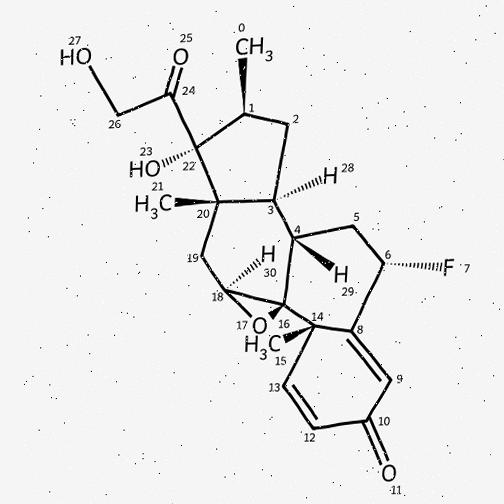 C[C@H]1C[C@H]2[C@@H]3C[C@H](F)C4=CC(=O)C=C[C@]4(C)[C@@]34O[C@H]4C[C@]2(C)[C@@]1(O)C(=O)CO